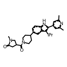 Cc1cc(-c2[nH]c3ccc(C4CCN(C(=O)C5CC(=O)N(C)C5)CC4)cc3c2C(C)C)cc(C)n1